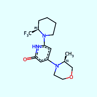 C[C@H]1COCCN1c1cc(N2CCCC[C@@H]2C(F)(F)F)[nH]c(=O)c1